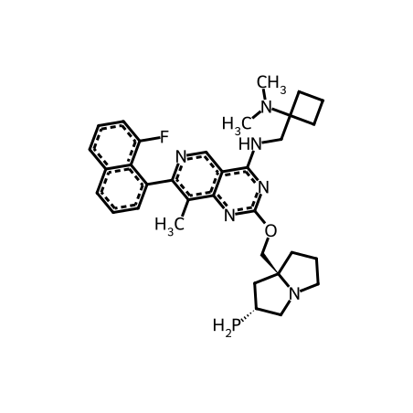 Cc1c(-c2cccc3cccc(F)c23)ncc2c(NCC3(N(C)C)CCC3)nc(OC[C@@]34CCCN3C[C@H](P)C4)nc12